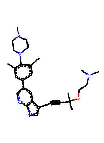 Cc1cc(-c2cnc3[nH]cc(C#CC(C)(C)OCCN(C)C)c3c2)cc(C)c1N1CCN(C)CC1